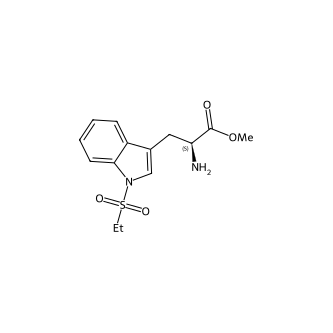 CCS(=O)(=O)n1cc(C[C@H](N)C(=O)OC)c2ccccc21